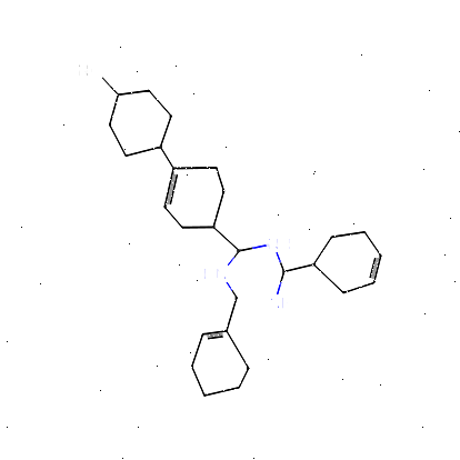 N#CC1CCC(C2=CCC(C(NCC3=CCCCC3)NC(N)C3CC=CCC3)CC2)CC1